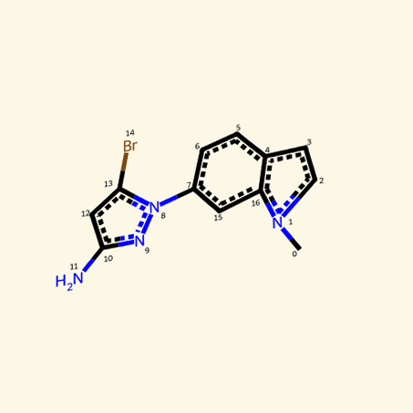 Cn1ccc2ccc(-n3nc(N)cc3Br)cc21